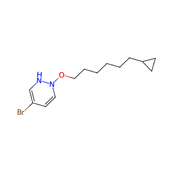 BrC1=CNN(OCCCCCCC2CC2)C=C1